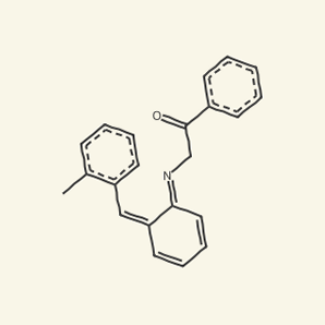 Cc1ccccc1/C=C1/C=CC=C/C1=N\CC(=O)c1ccccc1